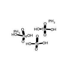 O=[Te](=O)(O)O.O=[Te](=O)(O)O.O=[Te](=O)(O)O.P.P